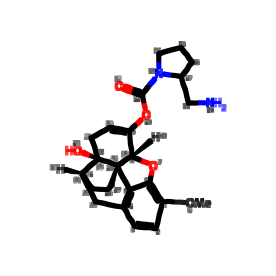 COc1ccc2c3c1O[C@H]1C(OC(=O)N4CCCC4CN)=CC[C@@]4(O)[C@H](CCC[C@]314)C2